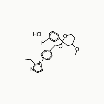 CCc1nccn1-c1ccc(COC2(c3cccc(F)c3)CC(OC)CCO2)cc1.Cl